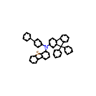 c1ccc(-c2ccc(N(c3ccc4c(c3)C(c3ccccc3)(c3ccccc3)c3ccccc3-4)c3cccc4c3sc3ccccc34)cc2)cc1